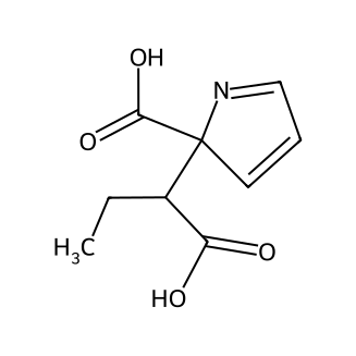 CCC(C(=O)O)C1(C(=O)O)C=CC=N1